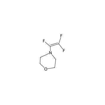 FC(F)=C(F)N1CCOCC1